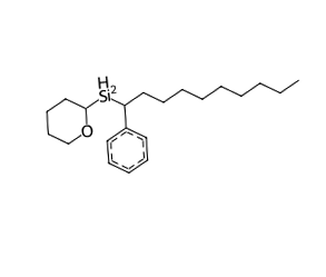 CCCCCCCCCC([SiH2]C1CCCCO1)c1ccccc1